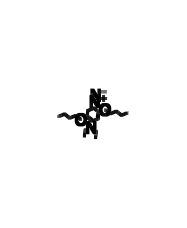 CCCCOC1=CC(N(CC)CC)=C(OCCCC)CC1=[N+]=[N-]